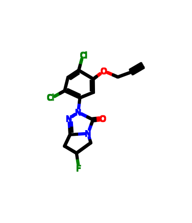 C#CCOc1cc(-n2nc3n(c2=O)CC(F)C3)c(Cl)cc1Cl